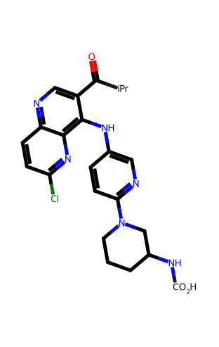 CC(C)C(=O)c1cnc2ccc(Cl)nc2c1Nc1ccc(N2CCCC(NC(=O)O)C2)nc1